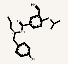 CCC[C@H](Cc1ccc(O)cc1)NC(=O)c1ccc(OC(C)C)c(C=N)c1